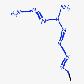 CN=NN=NN(N)N=NN